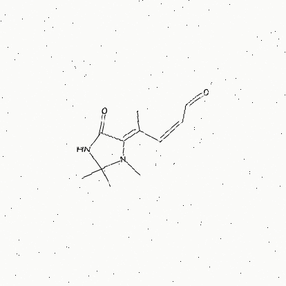 CC(/C=C\C=O)=C1\C(=O)NC(C)(C)N1C